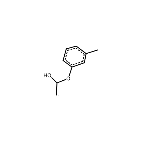 [CH2]C(O)Oc1cccc(C)c1